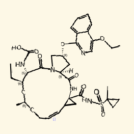 CCOc1cnc(O[C@@H]2C[C@H]3C(=O)NC4(C(=O)NS(=O)(=O)C5(C)CC5)CC4/C=C\CC[C@@H](C)C[C@@H](CC)[C@H](NC(=O)O)C(=O)N3C2)c2ccccc12